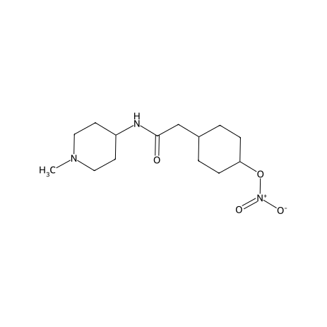 CN1CCC(NC(=O)CC2CCC(O[N+](=O)[O-])CC2)CC1